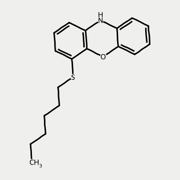 CCCCCCSc1cccc2c1Oc1ccccc1N2